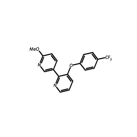 COc1ccc(-c2ncccc2Oc2ccc(C(F)(F)F)cc2)cn1